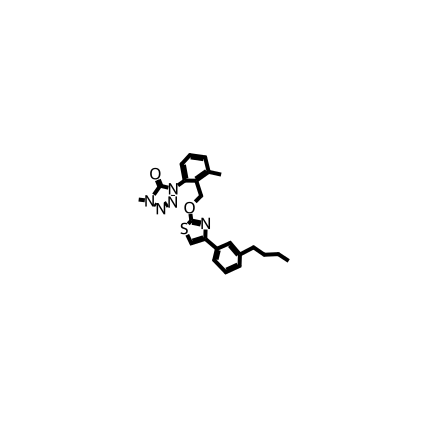 CCCCc1cccc(-c2csc(OCc3c(C)cccc3-n3nnn(C)c3=O)n2)c1